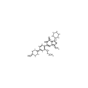 CCOc1cc(N2CCC(O)CC2)ccc1-c1nc2c(C)nc(C3CCCCC3)n2c(=O)[nH]1